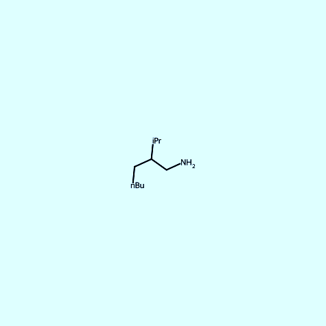 CCCCCC(CN)C(C)C